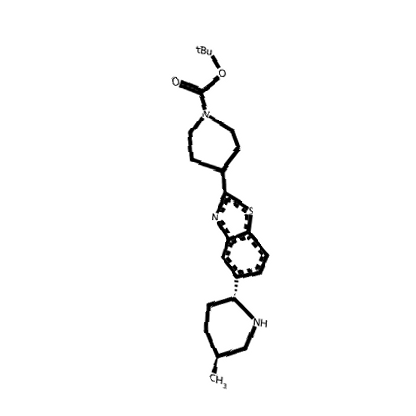 C[C@H]1CC[C@H](c2ccc3sc(C4CCN(C(=O)OC(C)(C)C)CC4)nc3c2)NC1